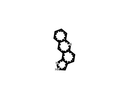 c1ccc2nc3ccc4c[nH]nc4c3cc2c1